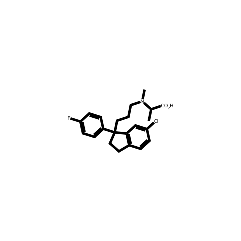 CC(C(=O)O)N(C)CCCC1(c2ccc(F)cc2)CCc2ccc(Cl)cc21